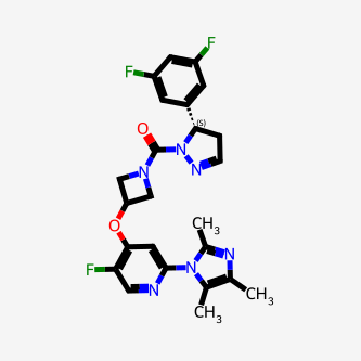 Cc1nc(C)n(-c2cc(OC3CN(C(=O)N4N=CC[C@H]4c4cc(F)cc(F)c4)C3)c(F)cn2)c1C